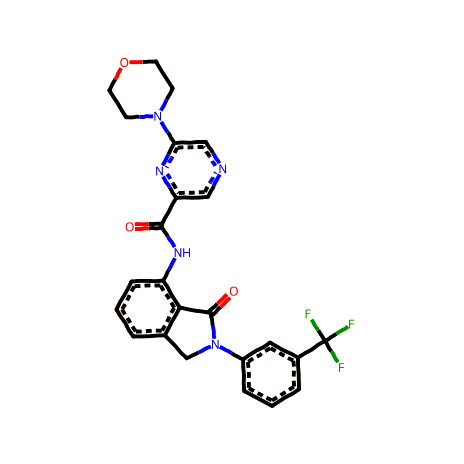 O=C(Nc1cccc2c1C(=O)N(c1cccc(C(F)(F)F)c1)C2)c1cncc(N2CCOCC2)n1